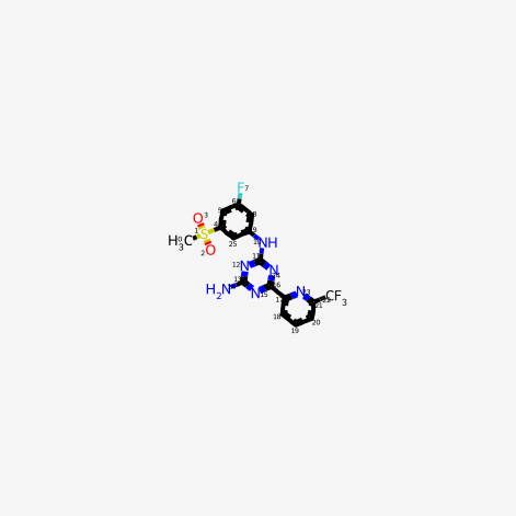 CS(=O)(=O)c1cc(F)cc(Nc2nc(N)nc(-c3cccc(C(F)(F)F)n3)n2)c1